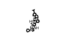 Cn1cc(-c2cccc(N3CCc4cc(C5CC5)ccc4C3=O)c2CO)cc(Nc2ccn(C3CCCCC3)n2)c1=O